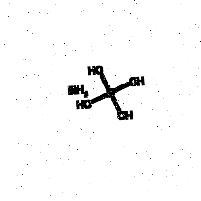 O[Si](O)(O)O.[BiH3]